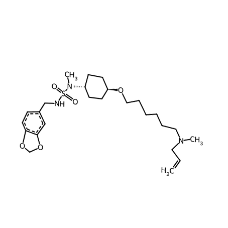 C=CCN(C)CCCCCCO[C@H]1CC[C@H](N(C)S(=O)(=O)NCc2ccc3c(c2)OCO3)CC1